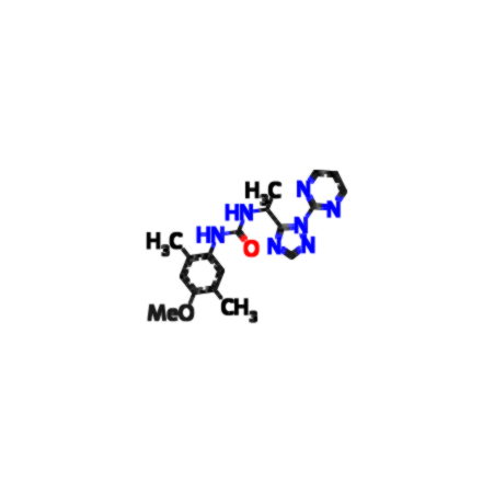 COc1cc(C)c(NC(=O)NC(C)c2ncnn2-c2ncccn2)cc1C